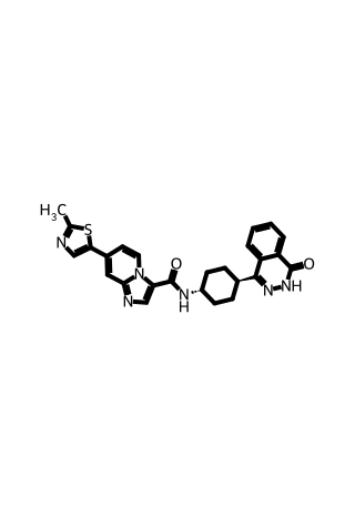 Cc1ncc(-c2ccn3c(C(=O)N[C@H]4CC[C@H](c5n[nH]c(=O)c6ccccc65)CC4)cnc3c2)s1